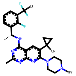 CCC(F)(F)c1cccc([C@@H](C)Nc2nc(C)nc3nc(N4CCN(C(C)C)CC4)c(C4(C#N)CC4)cc23)c1F